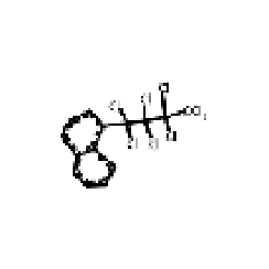 ClC(Cl)(Cl)C(Cl)(Cl)C(Cl)(Cl)C(Cl)(Cl)c1[c]ccc2ccccc12